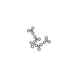 C1=CCCC(N(c2ccccc2)c2ccc(-c3ccc(N(c4ccccc4)c4ccc(C5(c6ccc(N(c7ccccc7)c7ccc(-c8ccc(N(c9ccccc9)c9ccccc9)cc8)cc7)cc6)c6ccccc6-c6ccccc65)cc4)cc3)cc2)=C1